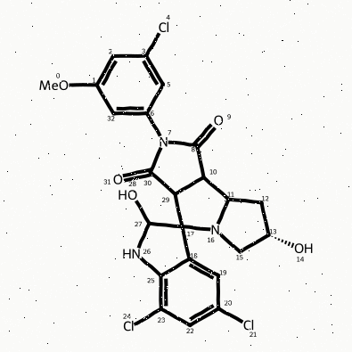 COc1cc(Cl)cc(N2C(=O)C3C4C[C@H](O)CN4C4(c5cc(Cl)cc(Cl)c5NC4O)C3C2=O)c1